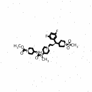 COC(=O)N1CCC(NC(=O)N(C)C2CCN(CC[C@@H](c3cc(F)cc(F)c3)C3CCN(S(C)(=O)=O)CC3)CC2)CC1